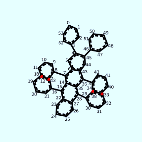 c1ccc(-c2cc3c(-c4ccccc4)c4c(-c5ccccc5)c5ccccc5c(-c5ccccc5)c4c(-c4ccccc4)c3cc2-c2ccccc2)cc1